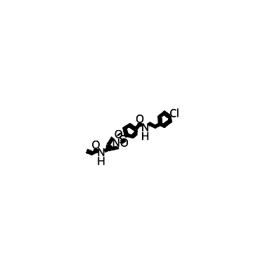 C=CC(=O)NC1C2CN(S(=O)(=O)c3ccc(C(=O)NCCc4ccc(Cl)cc4)cc3)CC21